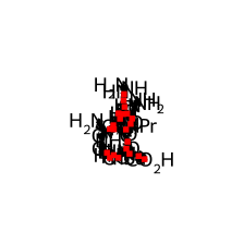 CCCC[C@@H]1NC(=O)[C@@H]2CCCN2C(=O)CNC(=O)[C@H](CCCCN)NC(=O)[C@H](Cc2cnc[nH]2)NC(=O)[C@@H](NC(=O)[C@H](CC(C)C)NC(=O)[C@H](CCCNC(=N)N)NC(=O)[C@@H]2CCCN2C(=O)CCCCNC(=N)N)CSSC[C@@H](C(=O)N[C@@H](Cc2ccccc2)C(=O)O)NC1=O